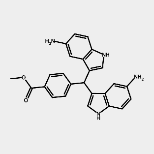 COC(=O)c1ccc(C(c2c[nH]c3ccc(N)cc23)c2c[nH]c3ccc(N)cc23)cc1